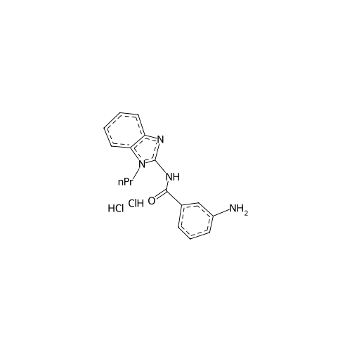 CCCn1c(NC(=O)c2cccc(N)c2)nc2ccccc21.Cl.Cl